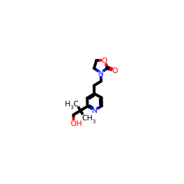 CC(C)(CO)c1cc(CCN2CCOC2=O)ccn1